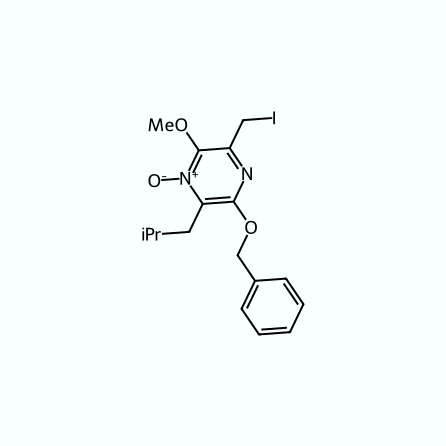 COc1c(CI)nc(OCc2ccccc2)c(CC(C)C)[n+]1[O-]